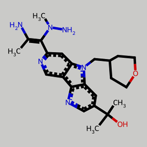 C/C(N)=C(\c1cc2c(cn1)c1ncc(C(C)(C)O)cc1n2CC1CCOCC1)N(C)N